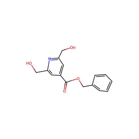 O=C(OCc1ccccc1)c1cc(CO)nc(CO)c1